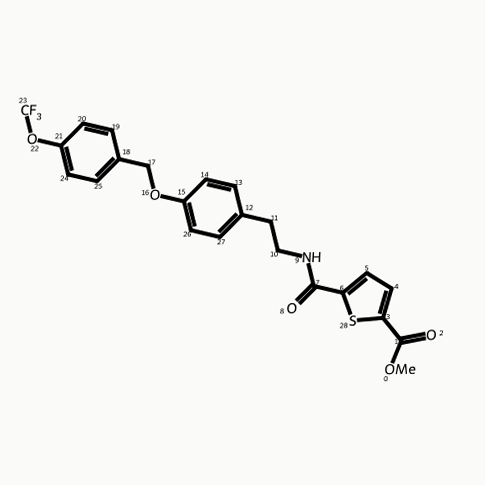 COC(=O)c1ccc(C(=O)NCCc2ccc(OCc3ccc(OC(F)(F)F)cc3)cc2)s1